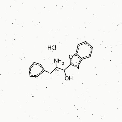 Cl.N[C@@H](Cc1ccccc1)C(O)c1nc2ccccc2o1